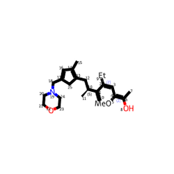 C=C(/C(=C\C(OC)=C(/C)O)CC)[C@@H](C)CC1=C(C)C=C(CN2CCOCC2)C1